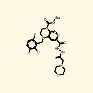 CC(C)(C)OC(=O)N1CCN(Cc2c(F)ccc(F)c2Cl)c2cc(C(=O)NNC(=O)CN3CCOCC3)nnc21